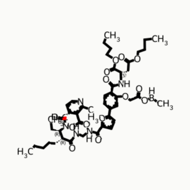 CBOC(=O)COc1cc(-c2ccc(C(=O)NCNC(=O)[C@H](CCCCC)[C@@H](CC)N(C=O)OC(=O)c3c(C)ccnc3C)o2)ccc1C(=O)N[C@@H](CC(=O)OCCCC)C(=O)OCCCC